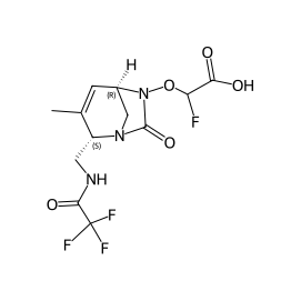 CC1=C[C@@H]2CN(C(=O)N2OC(F)C(=O)O)[C@@H]1CNC(=O)C(F)(F)F